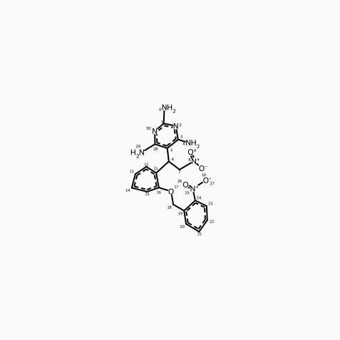 Nc1nc(N)c(C(C[N+](=O)[O-])c2ccccc2OCc2ccccc2[N+](=O)[O-])c(N)n1